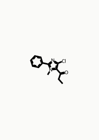 CCC(=O)c1c(Cl)nc(-c2ccccc2)n1C